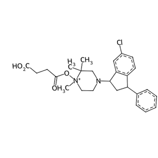 CC1(C)CN(C2CC(c3ccccc3)c3ccc(Cl)cc32)CC[N+]1(C)OC(=O)CCC(=O)O